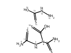 NC(=S)NN(C(N)=S)C(O)=S.NNC(O)=S